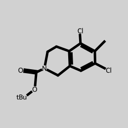 Cc1c(Cl)cc2c(c1Cl)CCN(C(=O)OC(C)(C)C)C2